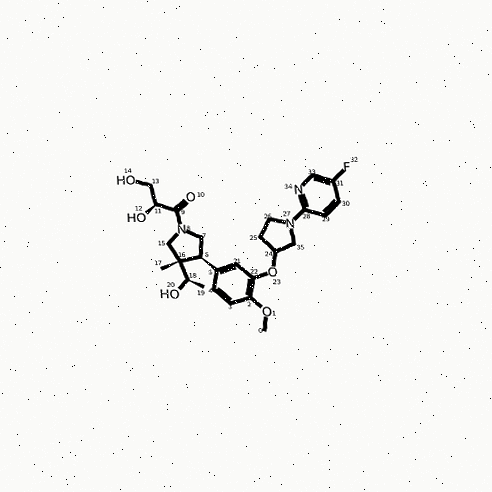 COc1ccc([C@@H]2CN(C(=O)[C@@H](O)CO)C[C@@]2(C)[C@@H](C)O)cc1OC1CCN(c2ccc(F)cn2)C1